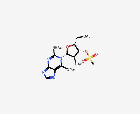 COc1c2ncnc-2nc(NC(C)=O)n1[C@@H]1O[C@H](COC(C)=O)[C@H](OS(C)(=O)=O)[C@H]1OC(C)=O